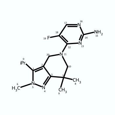 CC(C)c1c2c(nn1C)C(C)(C)CN(c1nc(N)ncc1F)C2